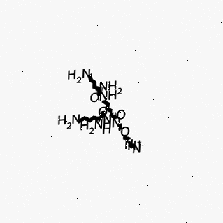 [N-]=[N+]=NCCOCCNC(=O)[C@H](CCCCNC(=O)[C@@H](N)CCCCN)NC(=O)[C@@H](N)CCCCN